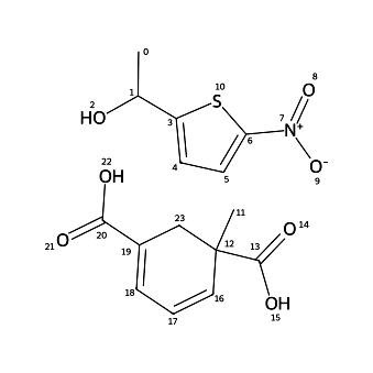 CC(O)c1ccc([N+](=O)[O-])s1.CC1(C(=O)O)C=CC=C(C(=O)O)C1